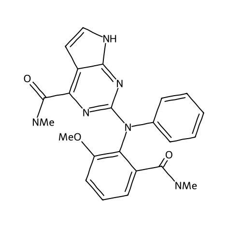 CNC(=O)c1cccc(OC)c1N(c1ccccc1)c1nc(C(=O)NC)c2cc[nH]c2n1